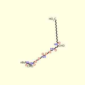 CCCCNC(=O)CC[C@@H](C=O)NC(=O)COCCOCCNC(=O)COCCOCCNC(=O)CC[C@@H](C=O)NC(=O)CCCCCCCCCCCCCCCCC(=O)O